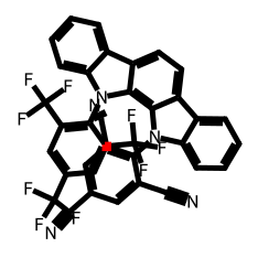 N#Cc1cc(C#N)c(-n2c3ccccc3c3ccc4c5ccccc5n(-c5c(C(F)(F)F)cc(C(F)(F)F)cc5C(F)(F)F)c4c32)c(C#N)c1